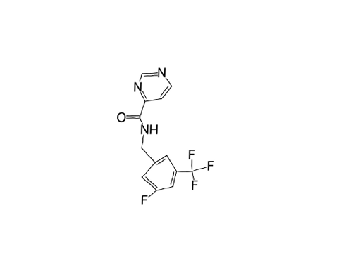 O=C(NCc1cc(F)cc(C(F)(F)F)c1)c1ccncn1